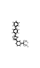 CC(C)N1CCCC(c2noc(-c3ccc(-c4ccccc4)cc3)n2)C1